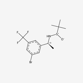 C[C@H](N[S+]([O-])C(C)(C)C)c1cc(Br)cc(C(F)(F)F)c1